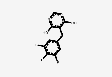 Oc1ncnc(O)c1Cc1cc(F)c(F)c(F)c1